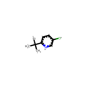 CCC(C)(C)c1ccc(Cl)cn1